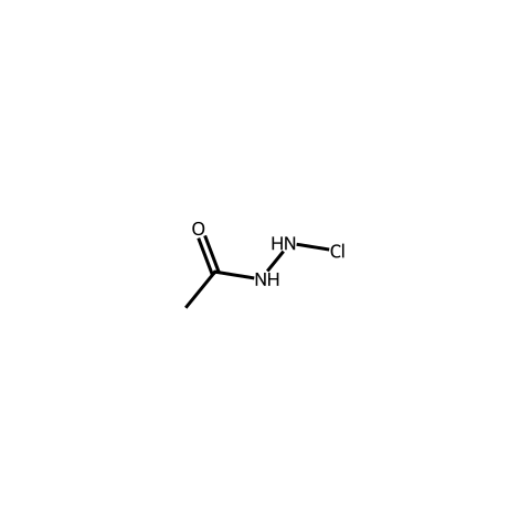 CC(=O)NNCl